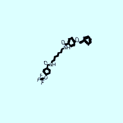 O=C(NCCCCCCCNC(=O)c1ccc(OC(F)(F)F)cc1)c1ccc(OCc2ccccc2)cc1